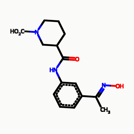 CC(=NO)c1cccc(NC(=O)C2CCCN(C(=O)O)C2)c1